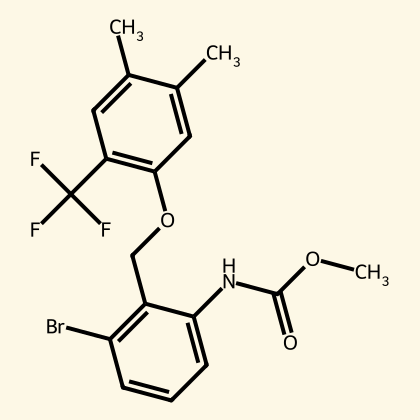 COC(=O)Nc1cccc(Br)c1COc1cc(C)c(C)cc1C(F)(F)F